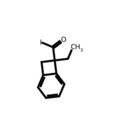 CCC1(C(=O)I)Cc2ccccc21